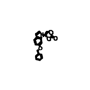 O=C1OCC(n2ccc3ccc(OCc4ccccc4)cc32)O1